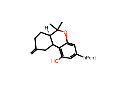 C=C1CC[C@@H]2C(C1)c1c(O)cc(CCCCC)cc1OC2(C)C